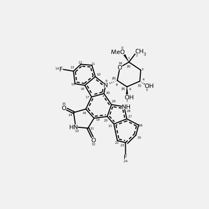 CO[C@@]1(C)C[C@H](O)[C@@H](O)[C@H](n2c3ccc(F)cc3c3c4c(c5c6cc(F)ccc6[nH]c5c32)C(=O)NC4=O)O1